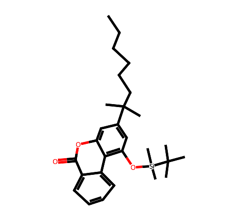 CCCCCCC(C)(C)c1cc(O[Si](C)(C)C(C)(C)C)c2c(c1)oc(=O)c1ccccc12